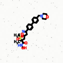 CC(CC1CC(c2ccc(-c3ccc(CN4CCOCC4)cc3)cc2)=NO1)(C(=O)NO)S(C)(=O)=O